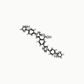 O=C(O)c1cc(-c2cn(-c3ccc(C4=NCCN4)cc3)nn2)ccc1-c1cn(-c2ccc(C3=NCCN3)cc2)nn1